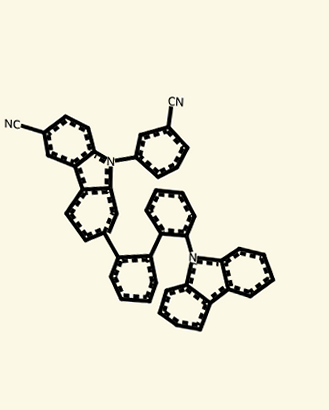 N#Cc1cccc(-n2c3ccc(C#N)cc3c3ccc(-c4ccccc4-c4ccccc4-n4c5ccccc5c5ccccc54)cc32)c1